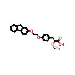 CO[C@@H](Cc1ccc(OCCOc2ccc3c(c2)Cc2ccccc2-3)cc1)C(=O)O